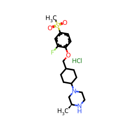 C[C@H]1CN(C2CCC(COc3ccc(S(C)(=O)=O)cc3F)CC2)CCN1.Cl